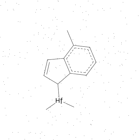 Cc1cccc2c1C=C[CH]2[Hf]([CH3])[CH3]